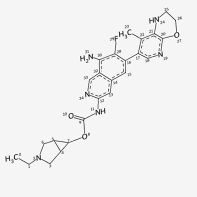 CCN1CC2C(C1)C2OC(=O)Nc1cc2cc(-c3cnc4c(c3C)NCCO4)c(F)c(N)c2cn1